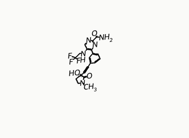 CN1CC[C@](O)(C#Cc2cccc(-c3nc(C(N)=O)ncc3NCC(F)(F)F)c2)C1=O